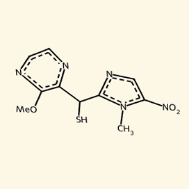 COc1nccnc1C(S)c1ncc([N+](=O)[O-])n1C